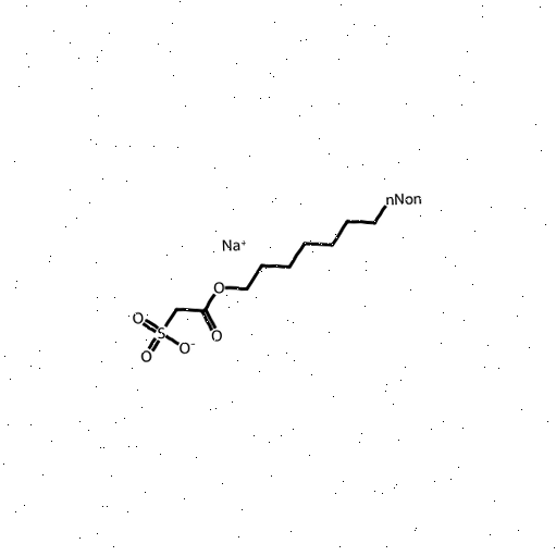 CCCCCCCCCCCCCCCCOC(=O)CS(=O)(=O)[O-].[Na+]